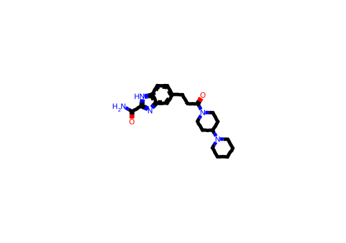 NC(=O)c1nc2cc(C[CH]C(=O)N3CCC(N4CCCCC4)CC3)ccc2[nH]1